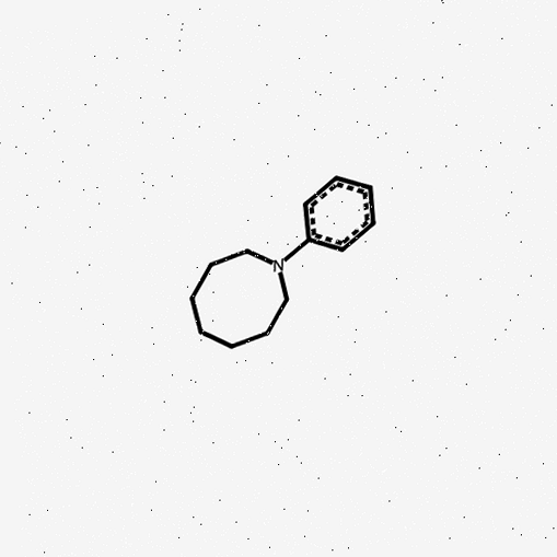 c1ccc(N2CCCCCCC2)cc1